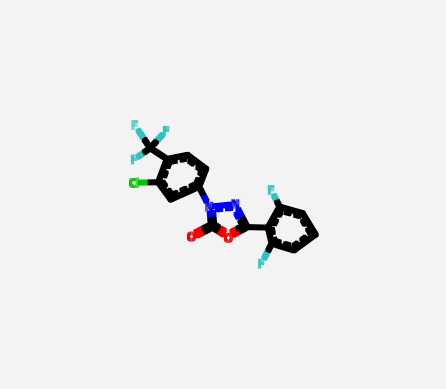 O=c1oc(-c2c(F)cccc2F)nn1-c1ccc(C(F)(F)F)c(Cl)c1